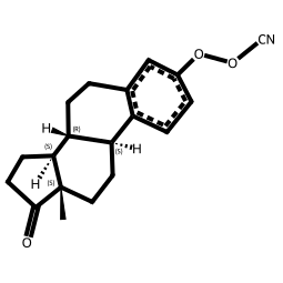 C[C@]12CC[C@@H]3c4ccc(OOC#N)cc4CC[C@H]3[C@@H]1CCC2=O